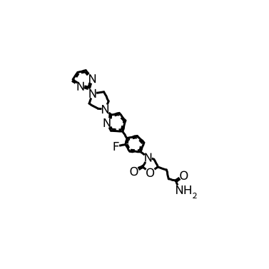 NC(=O)CCC1CN(c2ccc(-c3ccc(N4CCN(c5ncccn5)CC4)nc3)c(F)c2)C(=O)O1